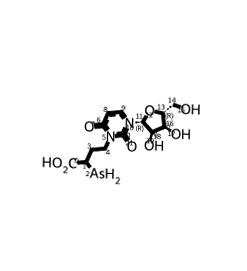 O=C(O)C([AsH2])CCn1c(=O)ccn([C@@H]2O[C@H](CO)[C@@H](O)[C@H]2O)c1=O